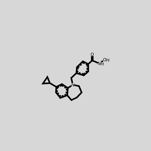 O=C(NO)c1ccc(CN2CCCCc3ccc(C4CC4)cc32)cc1